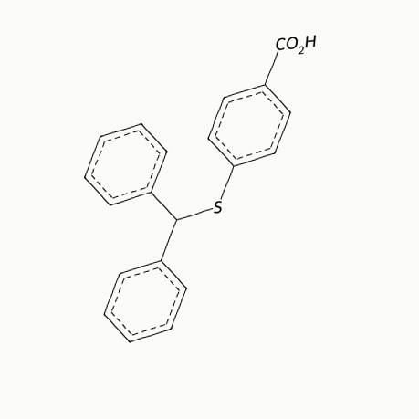 O=C(O)c1ccc(SC(c2ccccc2)c2ccccc2)cc1